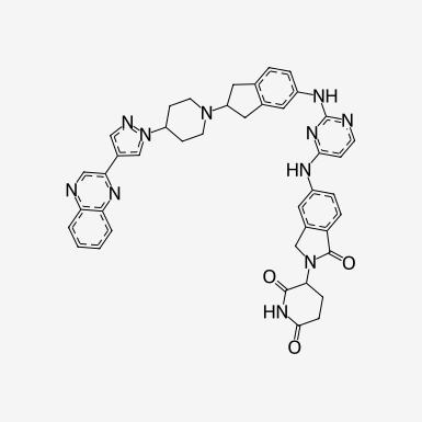 O=C1CCC(N2Cc3cc(Nc4ccnc(Nc5ccc6c(c5)CC(N5CCC(n7cc(-c8cnc9ccccc9n8)cn7)CC5)C6)n4)ccc3C2=O)C(=O)N1